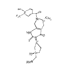 CNC[C@@]1(S)CC[C@H](n2c(=S)[nH]c3c(c2=O)C[C@@H](C)N(C(=O)c2ccc(Br)c(C(F)(F)F)c2)C3)C1